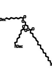 CCCCCCCCCCCCCCCCCC(=O)OCC(COC(=O)CCCCCCCCCCCCCCCCC(C)C)OC(=O)CCCCCCCCCCCCCCCCC